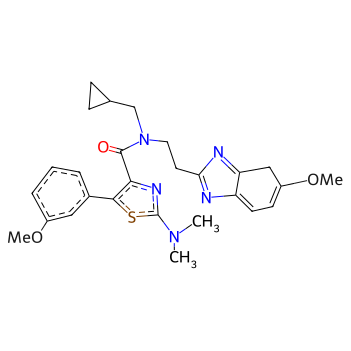 COC1=CC=C2N=C(CCN(CC3CC3)C(=O)c3nc(N(C)C)sc3-c3cccc(OC)c3)N=C2C1